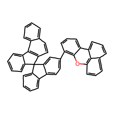 c1ccc2c(c1)-c1ccc(-c3cccc4c3Oc3cccc5cccc-4c35)cc1C21c2ccccc2-c2c1ccc1ccccc21